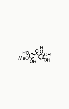 COc1c(O)cc(C(=O)c2ccc(O)c(O)c2O)cc1O